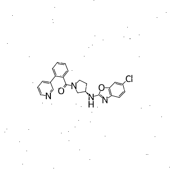 O=C(c1ccccc1-c1cccnc1)N1CC[C@@H](Nc2nc3ccc(Cl)cc3o2)C1